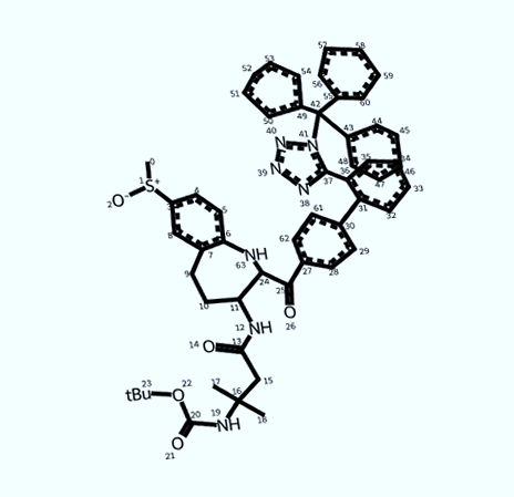 C[S+]([O-])c1ccc2c(c1)CCC(NC(=O)CC(C)(C)NC(=O)OC(C)(C)C)C(C(=O)c1ccc(-c3ccccc3-c3nnnn3C(c3ccccc3)(c3ccccc3)c3ccccc3)cc1)N2